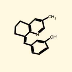 Cc1cnc2c(c1)CCC/C2=C/c1cccc(O)c1